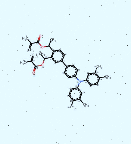 C=C(C)C(=O)OC(C)c1ccc(-c2ccc(N(c3ccc(C)c(C)c3)c3ccc(C)c(C)c3)cc2)cc1C(C)OC(=O)C(=C)C